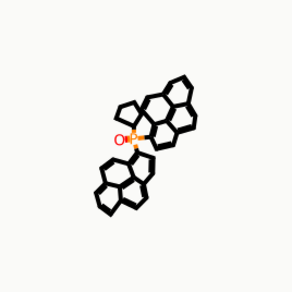 O=P(c1ccc2ccc3cccc4ccc1c2c34)(c1ccc2ccc3cccc4ccc1c2c34)C1CCCC1